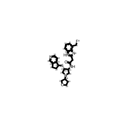 O=C(Cc1nc2c(CF)cccc2[nH]1)NC1CN(C2CCOC2)C[C@@H]1SC1CCc2cnccc21